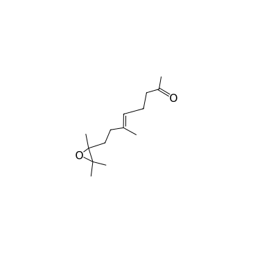 CC(=O)CC/C=C(\C)CCC1(C)OC1(C)C